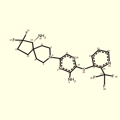 Nc1nc(N2CCC3(CC2)CCC(F)(F)[C@@H]3N)cnc1Sc1cccnc1C(F)(F)F